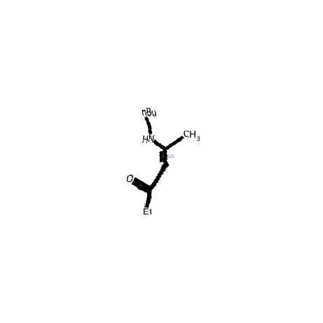 CCCCN/C(C)=C\C(=O)CC